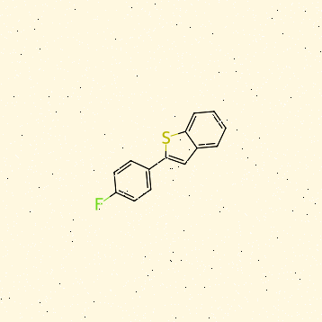 Fc1ccc(-c2cc3ccccc3s2)cc1